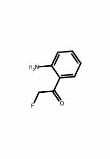 Nc1ccccc1C(=O)CF